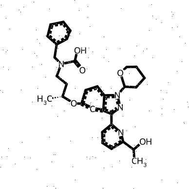 CC(O)c1cccc(-c2nn(C3CCCCO3)c3ccc(O[C@H](C)CCN(Cc4ccccc4)C(=O)O)cc23)n1